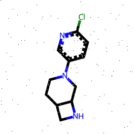 Clc1ccc(N2CCC3CNC3C2)cn1